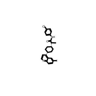 CC(C(=O)Nc1ccc(Cl)cc1)[C@H]1CC[C@@H](c2ccnc3ccc(I)cc32)CC1